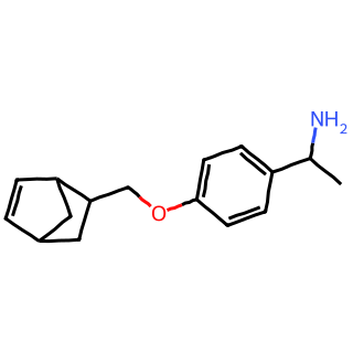 CC(N)c1ccc(OCC2CC3C=CC2C3)cc1